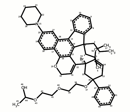 CCCC1(CCC)c2ccccc2-c2c1c1c(c3ccc(N4CCCCC4)cc23)OCC=C1C1(Br)CC(OCCOCCOC(C)O)(c2ccccc2)CC=C1OC